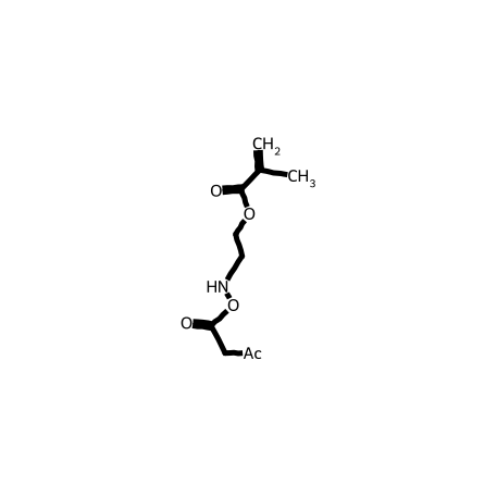 C=C(C)C(=O)OCCNOC(=O)CC(C)=O